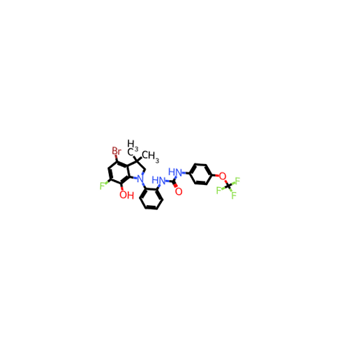 CC1(C)CN(c2ccccc2NC(=O)Nc2ccc(OC(F)(F)F)cc2)c2c(O)c(F)cc(Br)c21